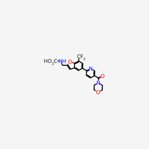 O=C(O)NCc1cc2cc(-c3ccc(C(=O)N4CCOCC4)cn3)cc(C(F)(F)F)c2o1